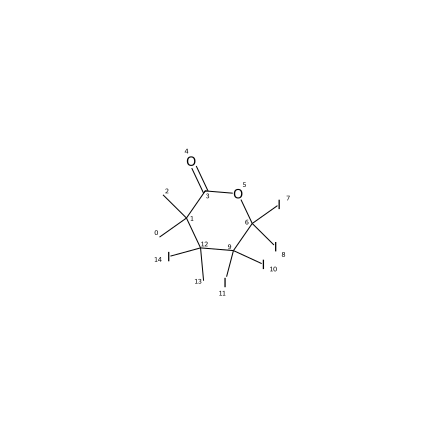 CC1(C)C(=O)OC(I)(I)C(I)(I)C1(C)I